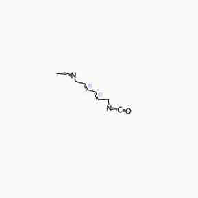 C=C=NC/C=C/C=C/CN=C=O